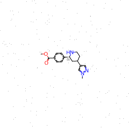 COC(=O)c1ccc([C@@H]2CC(c3cnn(C)c3)CCN2)cc1